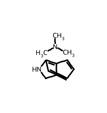 C1=CC2=C3C=C1C2CN3.CN(C)C